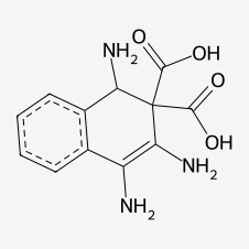 NC1=C(N)C(C(=O)O)(C(=O)O)C(N)c2ccccc21